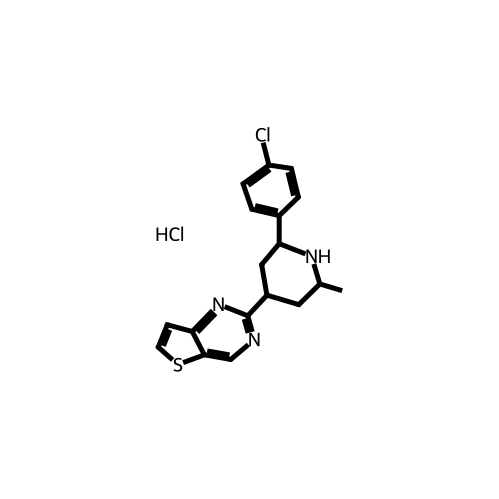 CC1CC(c2ncc3sccc3n2)CC(c2ccc(Cl)cc2)N1.Cl